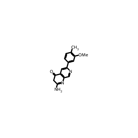 COc1cc(-c2cc3c(cn2)N=C(N)CC3=O)ccc1C